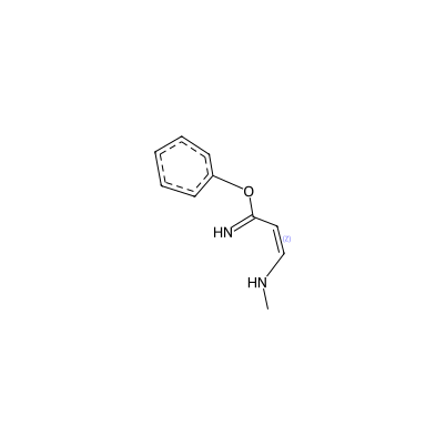 CN/C=C\C(=N)Oc1ccccc1